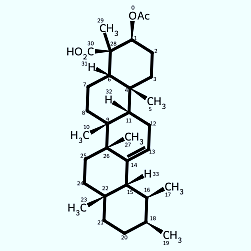 CC(=O)O[C@H]1CC[C@@]2(C)[C@H](CC[C@]3(C)[C@H]2CC=C2[C@@H]4[C@@H](C)[C@@H](C)CC[C@]4(C)CC[C@@]23C)[C@@]1(C)C(=O)O